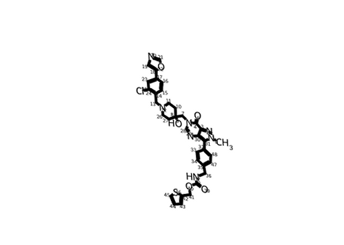 Cn1nc2c(=O)n(CC3(O)CCN(Cc4ccc(-c5cnco5)cc4Cl)CC3)cnc2c1-c1ccc(CNC(=O)OCc2cccs2)cc1